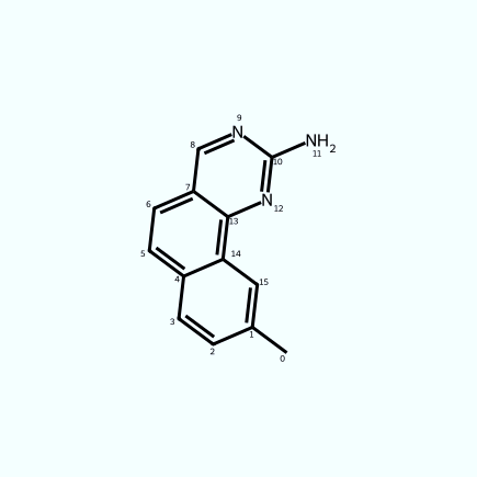 Cc1ccc2ccc3cnc(N)nc3c2c1